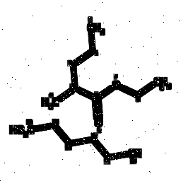 CCCC(C)C(=O)OCC.N#CCCCCC(=O)O